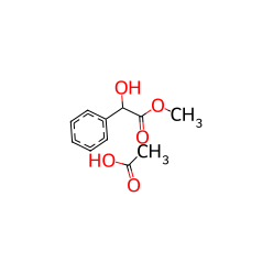 CC(=O)O.COC(=O)C(O)c1ccccc1